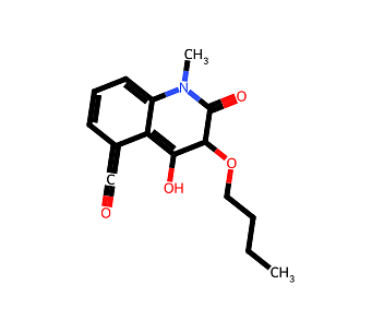 CCCCOC1C(=O)N(C)c2cccc(=C=O)c2=C1O